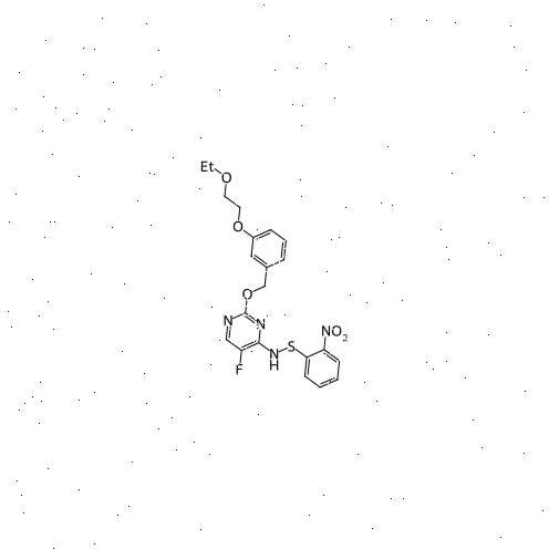 CCOCCOc1cccc(COc2ncc(F)c(NSc3ccccc3[N+](=O)[O-])n2)c1